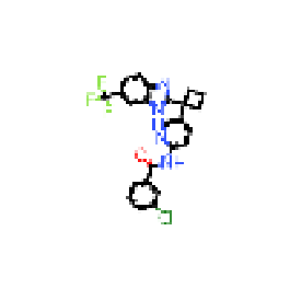 O=C(Nc1ccc(C2(c3nc4ccc(C(F)(F)F)cc4[nH]3)CCC2)cn1)c1cccc(Cl)c1